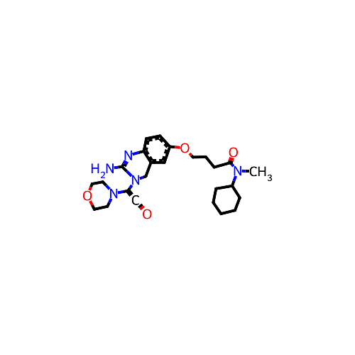 CN(C(=O)CCCOc1ccc2c(c1)CN(C(=C=O)N1CCOCC1)C(N)=N2)C1CCCCC1